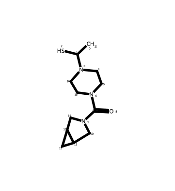 CC(S)N1CCN(C(=O)N2CC3CC3C2)CC1